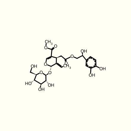 C/C=C1/[C@H](O[C@@H]2O[C@H](CO)[C@@H](O)[C@H](O)[C@H]2O)OC=C(C(=O)OC)[C@H]1CC(=O)OC[C@@H](O)c1ccc(O)c(O)c1